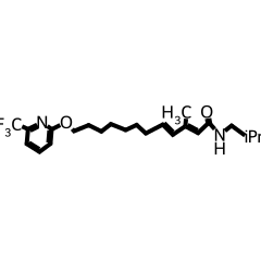 CC(/C=C/CCCCCCCOc1cccc(C(F)(F)F)n1)=C\C(=O)NCC(C)C